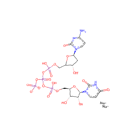 Nc1ccn([C@H]2C[C@H](O)C(COP(=O)(O)OP(=O)(OP(=O)([O-])[O-])OP(=O)(O)OC[C@H]3O[C@@H](n4ccc(=O)[nH]c4=O)[C@H](O)[C@@H]3O)O2)c(=O)n1.[Na+].[Na+]